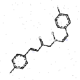 O=C(/C=C/c1ccc(I)cc1)C[S+]([O-])/C=C\c1ccc(I)cc1